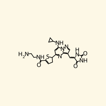 NCCNC(=O)C1=CCC(c2cc(NC3CC3)n3ncc(/C=C4\NC(=O)NC4=O)c3n2)S1